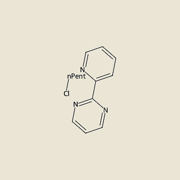 CCCCCCl.c1ccc(-c2ncccn2)nc1